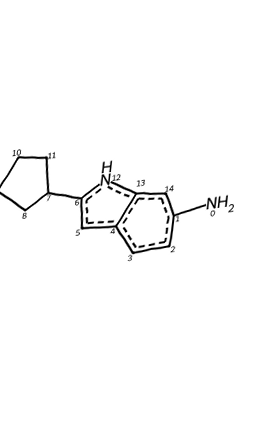 Nc1ccc2cc(C3CCCC3)[nH]c2c1